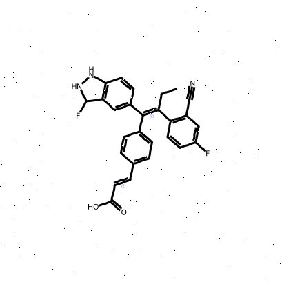 CC/C(=C(/c1ccc(/C=C/C(=O)O)cc1)c1ccc2c(c1)C(F)NN2)c1ccc(F)cc1C#N